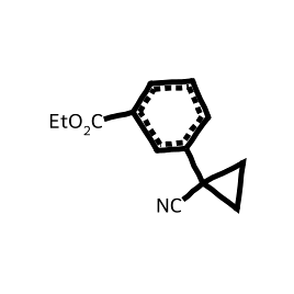 CCOC(=O)c1cccc(C2(C#N)CC2)c1